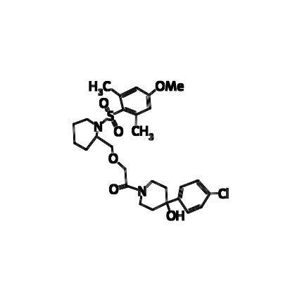 COc1cc(C)c(S(=O)(=O)N2CCCCC2COCC(=O)N2CCC(O)(c3ccc(Cl)cc3)CC2)c(C)c1